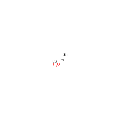 O.[Cu].[Fe].[Zn]